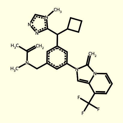 C=C(C)N(C)Cc1cc(C(c2nncn2C)C2CCC2)cc(N2C=C3C(C(F)(F)F)=CC=CN3C2=C)c1